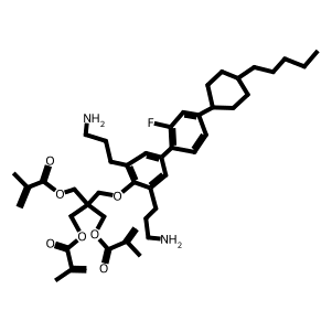 C=C(C)C(=O)OCC(COC(=O)C(=C)C)(COC(=O)C(=C)C)COc1c(CCCN)cc(-c2ccc(C3CCC(CCCCC)CC3)cc2F)cc1CCCN